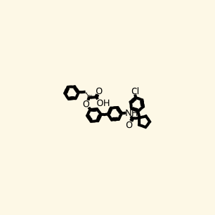 O=C(O)[C@@H](Cc1ccccc1)Oc1cccc(-c2ccc(NC(=O)C3(c4ccc(Cl)cc4)CCCC3)cc2)c1